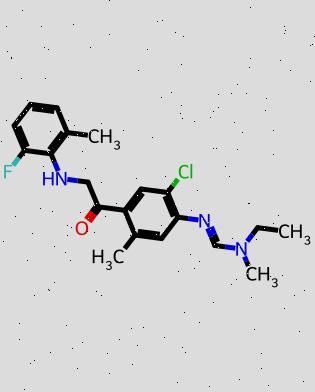 CCN(C)C=Nc1cc(C)c(C(=O)CNc2c(C)cccc2F)cc1Cl